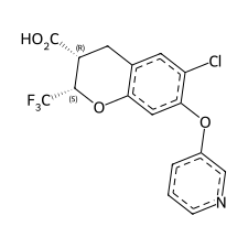 O=C(O)[C@@H]1Cc2cc(Cl)c(Oc3cccnc3)cc2O[C@@H]1C(F)(F)F